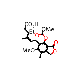 CCOC(OC)Oc1c(CC=C(C)CCC(=O)O)c(OC)c(C)c2c1C(=O)OC2